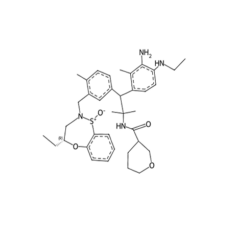 CCNc1ccc(C(c2ccc(C)c(CN3C[C@@H](CC)Oc4ccccc4[S+]3[O-])c2)C(C)(C)NC(=O)C2CCCOC2)c(C)c1N